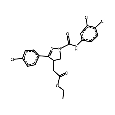 CCOC(=O)CC1CN(C(=O)Nc2ccc(Cl)c(Cl)c2)N=C1c1ccc(Cl)cc1